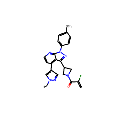 C=C(F)C(=O)N1CC(c2nn(-c3ccc(NC(F)(F)F)cc3)c3nccc(-c4cnn(C(C)C)c4)c23)C1